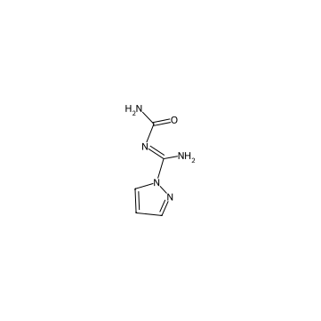 NC(=O)N=C(N)n1cccn1